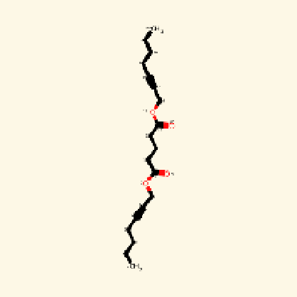 CCCCC#CCOC(=O)CCCC(=O)OCC#CCCCC